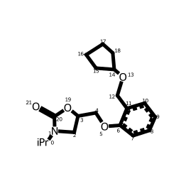 CC(C)N1CC(COc2ccccc2COC2CCCC2)OC1=O